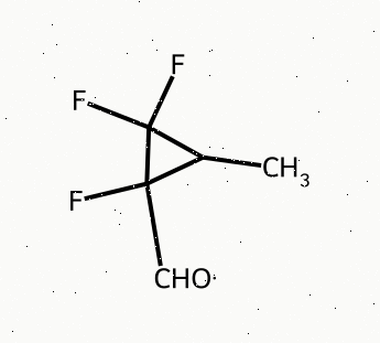 CC1C(F)(F)C1(F)[C]=O